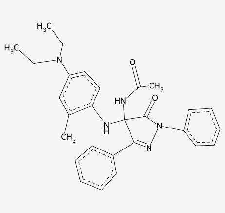 CCN(CC)c1ccc(NC2(NC(C)=O)C(=O)N(c3ccccc3)N=C2c2ccccc2)c(C)c1